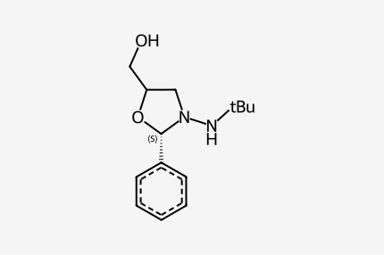 CC(C)(C)NN1CC(CO)O[C@H]1c1ccccc1